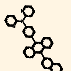 c1ccc(N(c2ccc(-c3c4ccccc4c(-c4ccc5ccccc5c4)c4ccccc34)cc2)c2ccccn2)nc1